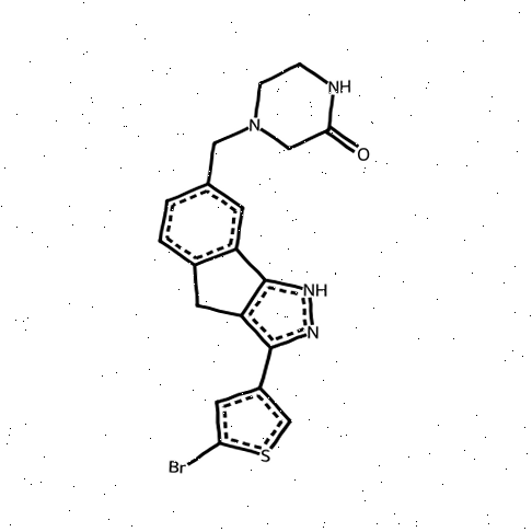 O=C1CN(Cc2ccc3c(c2)-c2[nH]nc(-c4csc(Br)c4)c2C3)CCN1